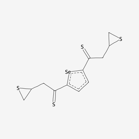 S=C(CC1CS1)c1ccc(C(=S)CC2CS2)[se]1